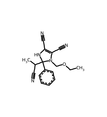 CCOCN1C(C#N)=C(C#N)NC1(c1ccccc1)C(C)C#N